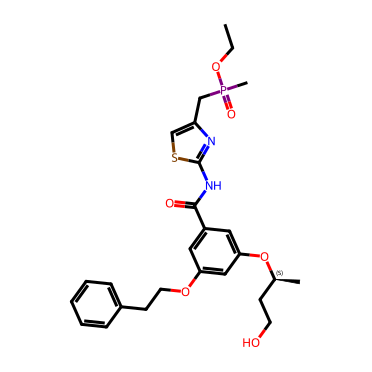 CCOP(C)(=O)Cc1csc(NC(=O)c2cc(OCCc3ccccc3)cc(O[C@@H](C)CCO)c2)n1